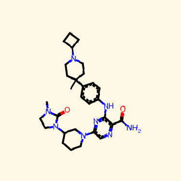 CN1CCN(C2CCCN(c3cnc(C(N)=O)c(Nc4ccc(C5(C)CCN(C6CCC6)CC5)cc4)n3)C2)C1=O